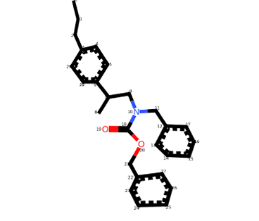 CCCc1ccc(C(C)CN(Cc2ccccc2)C(=O)OCc2ccccc2)cc1